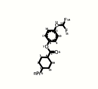 CCCC1CCC(C(=O)Oc2ccc(OC(F)F)cc2)CC1